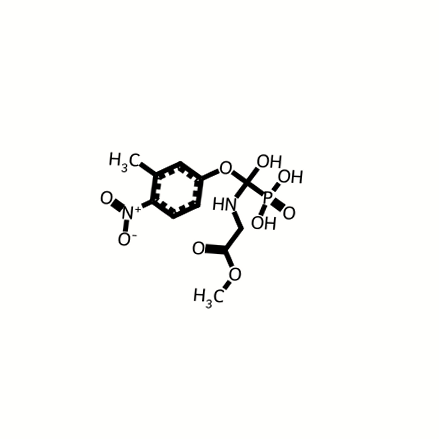 COC(=O)CNC(O)(Oc1ccc([N+](=O)[O-])c(C)c1)P(=O)(O)O